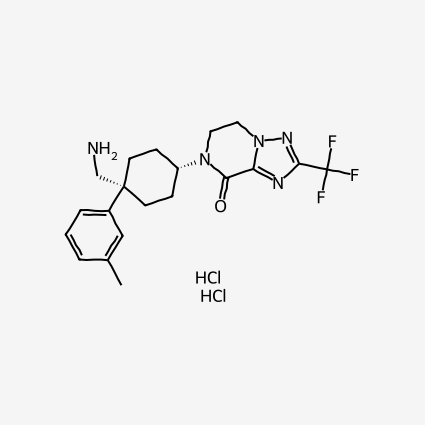 Cc1cccc([C@]2(CN)CC[C@@H](N3CCn4nc(C(F)(F)F)nc4C3=O)CC2)c1.Cl.Cl